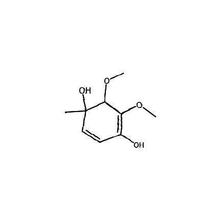 COC1=C(O)C=CC(C)(O)C1OC